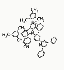 Cc1cc(C)c(-c2ccc3c(c2)c2cc(-c4c(C)cc(C)cc4C)ccc2n3-c2c(-c3cccc(C#N)c3)cc(-c3nc(-c4ccccc4)cc(-c4ccccc4)n3)cc2-c2cccc(C#N)c2)c(C)c1